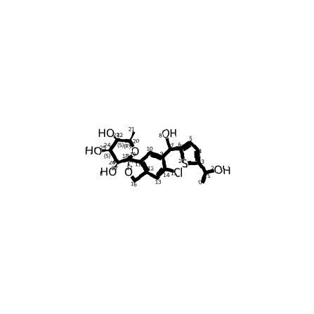 CC(O)c1ccc(C(O)c2cc3c(cc2Cl)CO[C@]32O[C@H](C)[C@@H](O)[C@H](O)[C@H]2O)s1